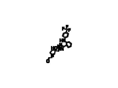 O=CCN1CC[C@](O)(Cn2nnc(-c3ccccc3Nc3ccc(C(F)(F)F)cc3)n2)C1